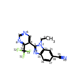 CCn1c(-c2cncnc2C(F)(F)F)nc2ccc(C#N)cc21